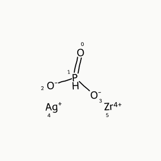 O=[PH]([O-])[O-].[Ag+].[Zr+4]